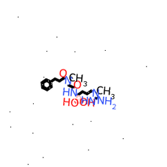 CN(CCCC(NC(=O)CN(C)C(=O)CCc1ccccc1)B(O)O)C(=N)N